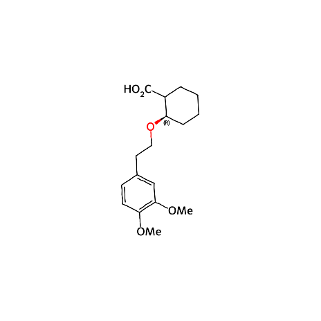 COc1ccc(CCO[C@@H]2CCCCC2C(=O)O)cc1OC